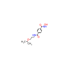 CC(C)OCCCNC(=O)c1ccc(C(=O)NO)cc1